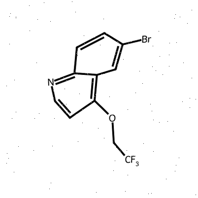 FC(F)(F)COc1ccnc2ccc(Br)cc12